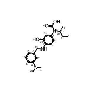 CC[C@H](C)N(C(=O)O)c1ccc(NCc2cccc(N(C)C)c2)c(O)c1